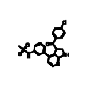 CS(=O)(=O)Nc1cccc(-c2ccnc3c2C(C(=O)c2ccc(Cl)cc2)CN3)c1